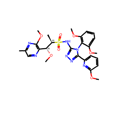 COc1cccc(-c2nnc(NS(=O)(=O)[C@H](C)[C@H](OC)c3ncc(C)nc3OC)n2-c2c(OC)cccc2OC)n1